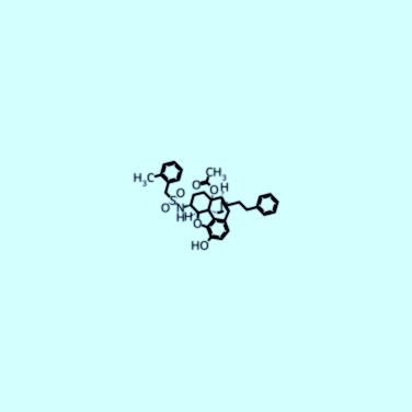 CC(=O)O[C@@]12CC[C@H](NS(=O)(=O)Cc3ccccc3C)[C@@H]3Oc4c(O)ccc5c4[C@@]31CCN(CCc1ccccc1)[C@@H]2C5